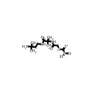 CCN(CC)C(=S)SCC(=O)NC(C)(C)C(=O)NCCC(C)(C)N